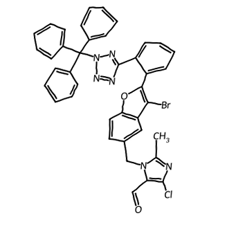 Cc1nc(Cl)c(C=O)n1Cc1ccc2oc(-c3ccccc3-c3nnn(C(c4ccccc4)(c4ccccc4)c4ccccc4)n3)c(Br)c2c1